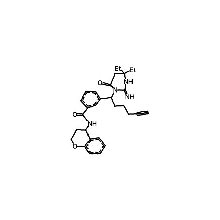 C#CCCCC(c1cccc(C(=O)NC2CCOc3ccccc32)c1)N1C(=N)NC(CC)(CC)CC1=O